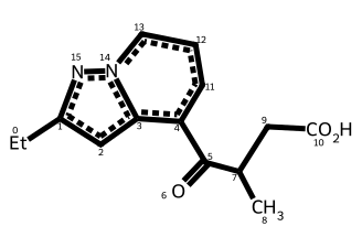 CCc1cc2c(C(=O)C(C)CC(=O)O)cccn2n1